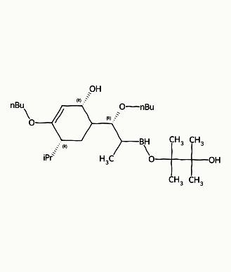 CCCCOC1=C[C@H](O)C([C@H](OCCCC)C(C)BOC(C)(C)C(C)(C)O)C[C@@H]1C(C)C